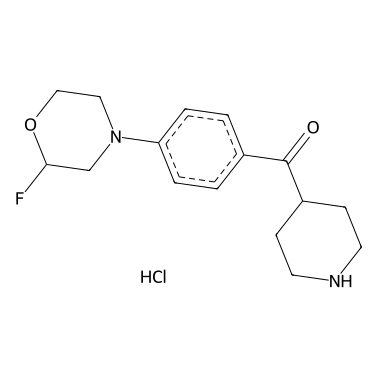 Cl.O=C(c1ccc(N2CCOC(F)C2)cc1)C1CCNCC1